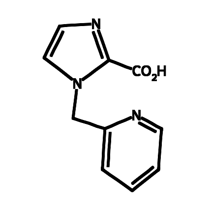 O=C(O)c1nccn1Cc1ccccn1